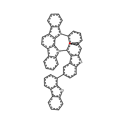 c1ccc(-n2c3ccccc3c3ccc4c5ccccc5n(-c5cccc6sc7ccc(-c8cccc9c8oc8ccccc89)cc7c56)c4c32)cc1